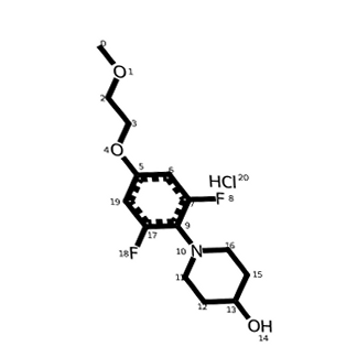 COCCOc1cc(F)c(N2CCC(O)CC2)c(F)c1.Cl